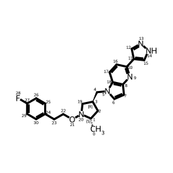 C[C@H]1C[C@H](Cn2ccc3nc(-c4cn[nH]c4)ccc32)CN1OCCc1ccc(F)cc1